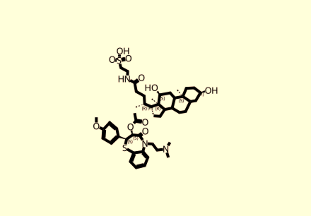 COc1ccc([C@@H]2Sc3ccccc3N(CCN(C)C)C(=O)[C@@H]2OC(C)=O)cc1.C[C@H](CCC(=O)NCCS(=O)(=O)O)[C@H]1CCC2C3CCC4C[C@H](O)CC[C@]4(C)C3C[C@H](O)[C@@]21C